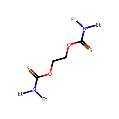 CCN(CC)C(=S)OCCOC(=S)N(CC)CC